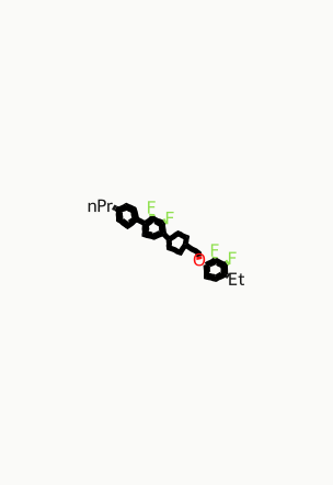 CCCc1ccc(-c2ccc(C3CCC(COc4ccc(CC)c(F)c4F)CC3)c(F)c2F)cc1